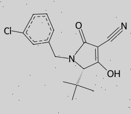 CC(C)(C)[C@H]1C(O)=C(C#N)C(=O)N1Cc1cccc(Cl)c1